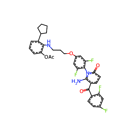 CC(=O)Oc1cccc(C2CCCC2)c1NCCCOc1cc(F)c(-n2c(N)c(C(=O)c3ccc(F)cc3F)ccc2=O)c(F)c1